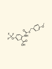 COc1ccc(CSC(=O)Nc2ccc(OC(F)(F)F)cc2C(=O)O)cc1